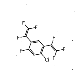 FC(F)=C(F)c1cc(C(F)=C(F)F)c(Cl)cc1F